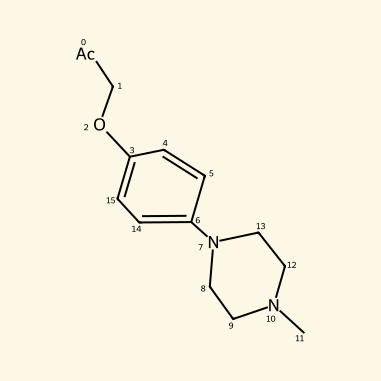 CC(=O)COc1ccc(N2CCN(C)CC2)cc1